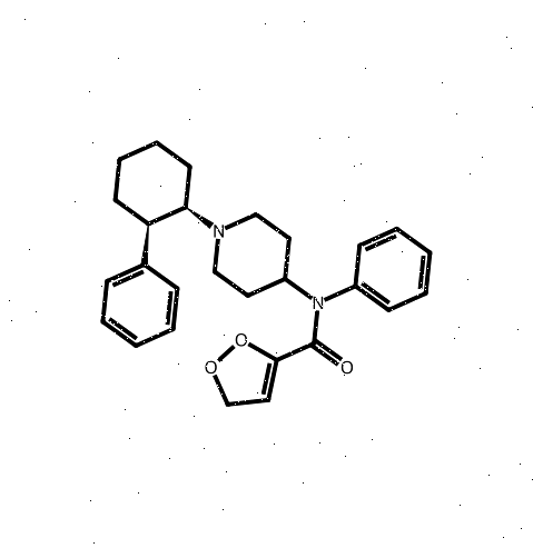 O=C(C1=CCOO1)N(c1ccccc1)C1CCN([C@@H]2CCCC[C@@H]2c2ccccc2)CC1